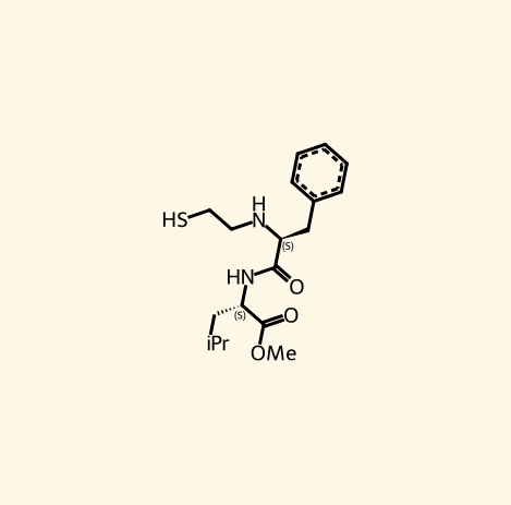 COC(=O)[C@H](CC(C)C)NC(=O)[C@H](Cc1ccccc1)NCCS